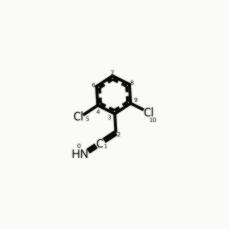 N=C=Cc1c(Cl)cccc1Cl